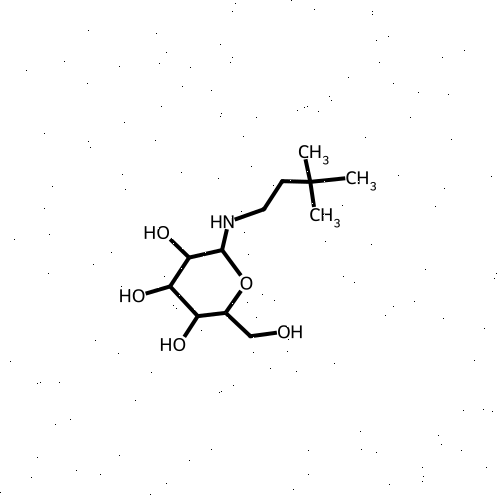 CC(C)(C)CCNC1OC(CO)C(O)C(O)C1O